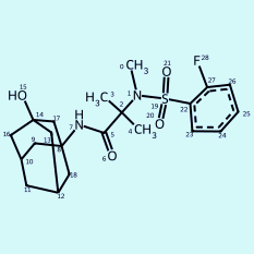 CN(C(C)(C)C(=O)NC12CC3CC(CC(O)(C3)C1)C2)S(=O)(=O)c1ccccc1F